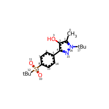 Cc1c(O)c(-c2ccc(S(=O)(=O)C(C)(C)C)cc2)nn1C(C)(C)C